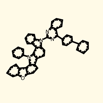 c1ccc(-c2ccc(-c3nc(-n4c5ccccc5c5c4ccc4c6ccc7oc8ccccc8c7c6n(-c6ccccc6)c45)nc4ccccc34)cc2)cc1